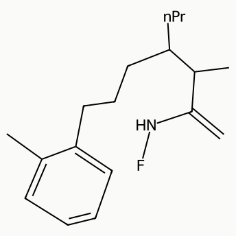 C=C(NF)C(C)C(CCC)CCCc1ccccc1C